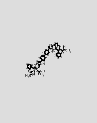 CNC(=O)N[C@@H](C(=O)N(Cc1ncc(-c2ccc(-c3ccc(-c4cnc([C@@H]5CCCN5C(=O)[C@H](NC(=O)NC)c5ccccc5)[nH]4)cc3)cc2)[nH]1)C[C@@H](C)O)c1ccccc1